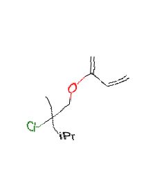 C=CC(=C)OCC(C)(Cl)C(C)C